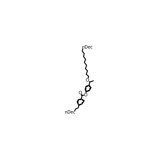 CCCCCCCCCCCCCCCCCCCCOC(C)c1ccc(OC(=O)c2ccc(CCCCCCCCCCCC)cc2)cc1